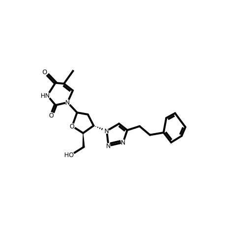 Cc1cn(C2C[C@H](n3cc(CCc4ccccc4)nn3)[C@@H](CO)O2)c(=O)[nH]c1=O